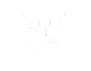 CCc1ccc(/C(=C/[C@H]2CCC(=O)N2Cc2ccc(OC)cc2OC)c2ccc(C(C)(C)C)cc2)[nH]c1=O